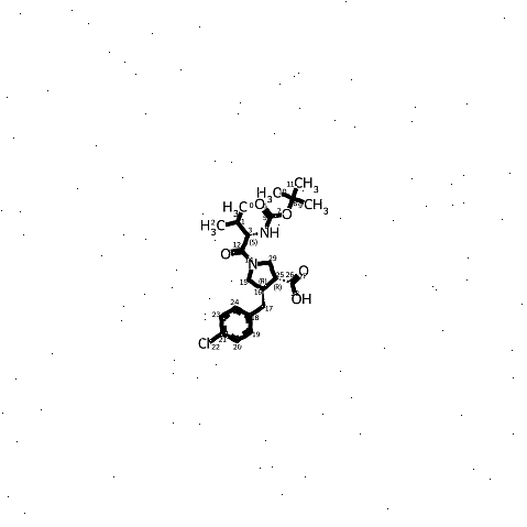 CC(C)[C@H](NC(=O)OC(C)(C)C)C(=O)N1C[C@H](Cc2ccc(Cl)cc2)[C@@H](C(=O)O)C1